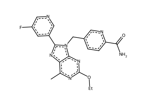 CCOc1nc(C)c2nc(-c3cncc(F)c3)n(Cc3ccc(C(N)=O)nc3)c2n1